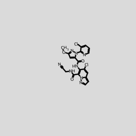 COc1cc(C(=O)Nc2c(Cl)cc3ccnn3c2C(=O)NCC#N)n(-c2ncccc2Cl)n1